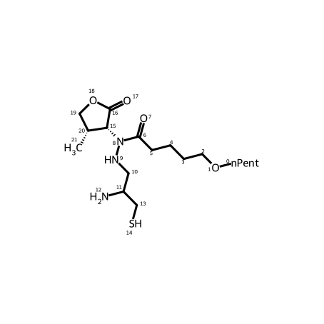 CCCCCOCCCCC(=O)N(NCC(N)CS)[C@H]1C(=O)OC[C@H]1C